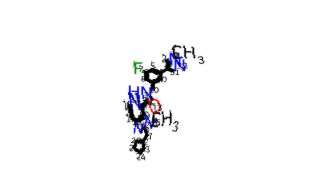 Cn1cc(-c2cc(F)cc(CNC(=O)c3nccc4nc(CC5CCCC5)n(C)c34)c2)cn1